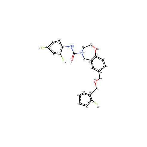 O=C(Nc1ccc(F)cc1F)N1CCOc2ccc(COCc3ccccc3F)cc2C1